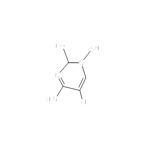 CN1C=C(Cl)C(N)=NC1O